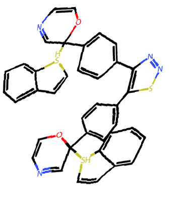 C1=COC(c2ccc(-c3nnsc3-c3ccc(C4([SH]5C=Cc6ccccc65)C=NC=CO4)cc3)cc2)([SH]2C=Cc3ccccc32)C=N1